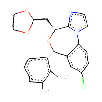 COc1cccc([C@@H]2O[C@@H](CC3OCCO3)c3nccn3-c3ccc(Cl)cc32)c1OC